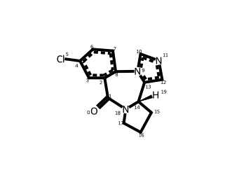 O=C1c2cc(Cl)ccc2-n2cncc2[C@@H]2CCCN12